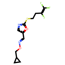 FC(F)=C(F)CCSc1ncc(C=NOCC2CC2)o1